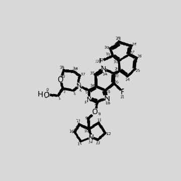 OCC1CN(c2nc(OCC34CCCN3CCC4)nc3c(F)c(-c4cccc5cccc(F)c45)ncc23)CCCO1